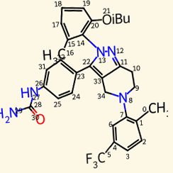 Cc1ccc(C(F)(F)F)cc1N1CCc2nn(-c3c(C)cccc3OCC(C)C)c(-c3ccc(NC(N)=O)cc3)c2C1